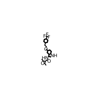 CC1OC(C)C1C(=O)Nc1c[nH]c2ccc(OCCc3ccc(C(F)(F)F)cc3)cc12